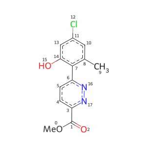 COC(=O)c1ccc(-c2c(C)cc(Cl)cc2O)nn1